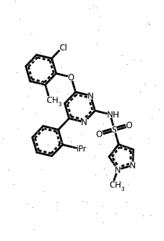 Cc1cccc(Cl)c1Oc1cc(-c2ccccc2C(C)C)nc(NS(=O)(=O)c2cnn(C)c2)n1